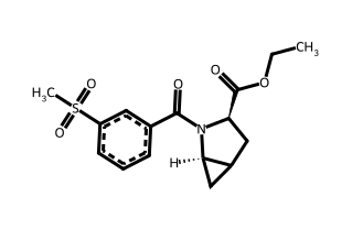 CCOC(=O)[C@H]1CC2C[C@H]2N1C(=O)c1cccc(S(C)(=O)=O)c1